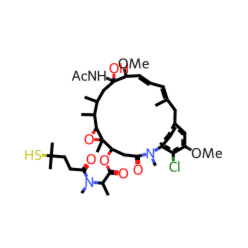 COc1cc2cc(c1Cl)N(C)C(=O)CC(OC(=O)C(C)N(C)C(=O)CCC(C)(C)S)C1(C)OC1C(C)C(C)CC(O)(NC(C)=O)C(OC)/C=C/C=C(\C)C2